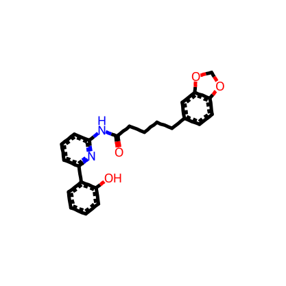 O=C(CCCCc1ccc2c(c1)OCO2)Nc1cccc(-c2ccccc2O)n1